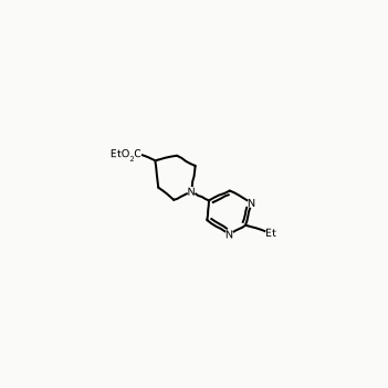 CCOC(=O)C1CCN(c2cnc(CC)nc2)CC1